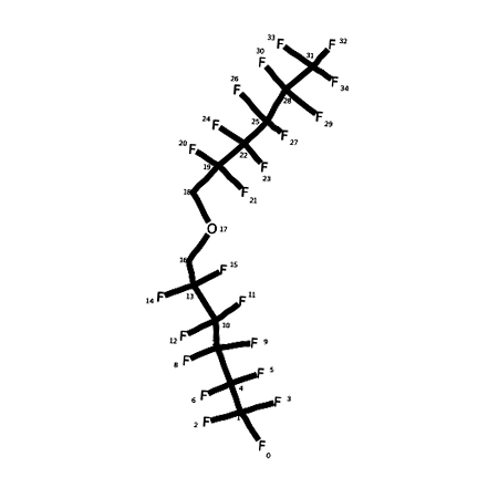 FC(F)(F)C(F)(F)C(F)(F)C(F)(F)C(F)(F)COCC(F)(F)C(F)(F)C(F)(F)C(F)(F)C(F)(F)F